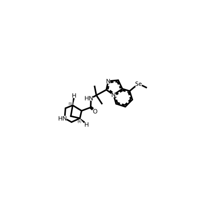 C[Se]c1cccn2c(C(C)(C)NC(=O)C3[C@@H]4CNC[C@H]3C4)ncc12